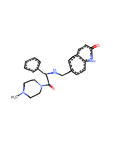 CN1CCN(C(=O)[C@H](NCc2ccc3[nH]c(=O)ccc3c2)c2ccccc2)CC1